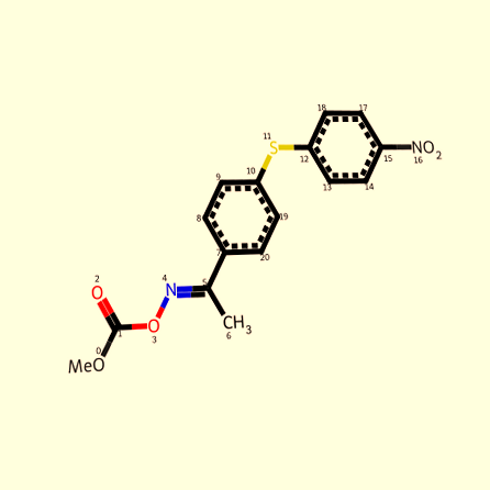 COC(=O)O/N=C(\C)c1ccc(Sc2ccc([N+](=O)[O-])cc2)cc1